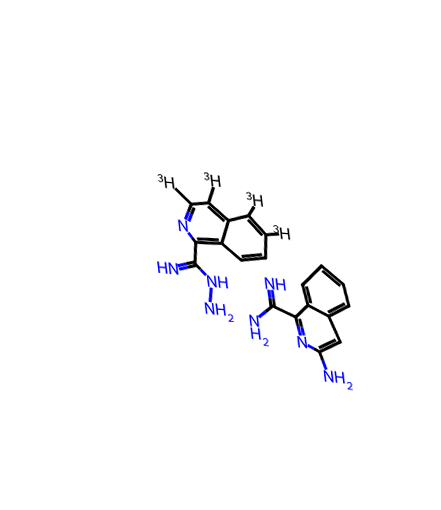 N=C(N)c1nc(N)cc2ccccc12.[3H]c1ccc2c(C(=N)NN)nc([3H])c([3H])c2c1[3H]